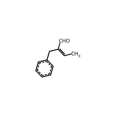 CC=C(C=O)Cc1ccccc1